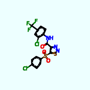 O=C(Nc1ccc(C(F)(F)F)cc1Cl)c1nnsc1S(=O)(=O)c1ccc(Cl)cc1